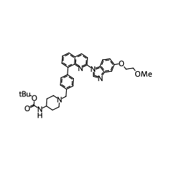 COCCOc1ccc2c(c1)ncn2-c1ccc2cccc(-c3ccc(CN4CCC(NC(=O)OC(C)(C)C)CC4)cc3)c2n1